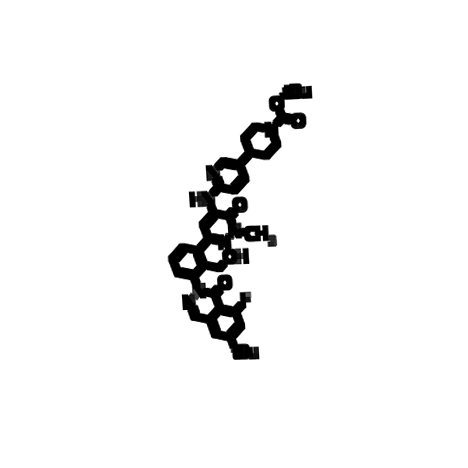 Cn1nc(-c2cccc(-n3ncc4cc(C(C)(C)C)cc(F)c4c3=O)c2CO)cc(Nc2ccc(C3CCN(C(=O)OC(C)(C)C)CC3)cn2)c1=O